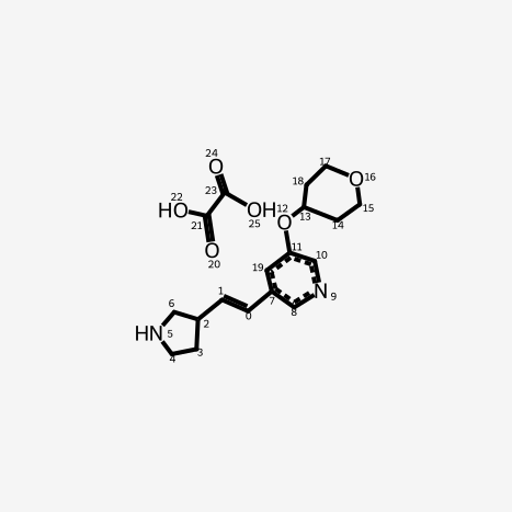 C(=C\C1CCNC1)/c1cncc(OC2CCOCC2)c1.O=C(O)C(=O)O